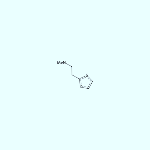 CNCCc1cccs1